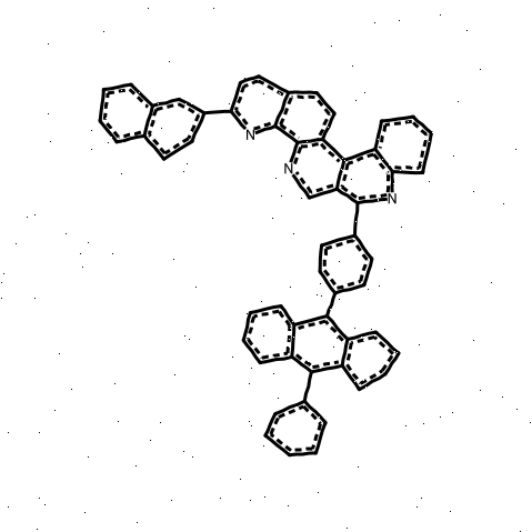 c1ccc(-c2c3ccccc3c(-c3ccc(-c4nc5ccccc5c5c4cnc4c5ccc5ccc(-c6ccc7ccccc7c6)nc54)cc3)c3ccccc23)cc1